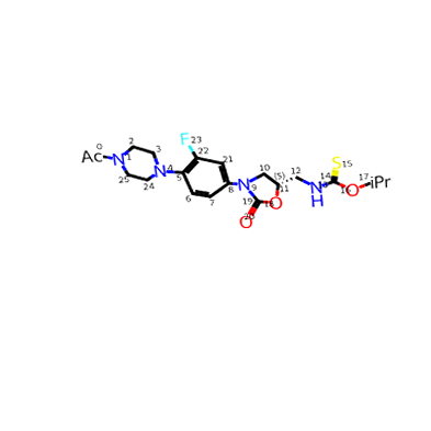 CC(=O)N1CCN(c2ccc(N3C[C@H](CNC(=S)OC(C)C)OC3=O)cc2F)CC1